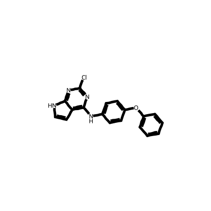 Clc1nc(Nc2ccc(Oc3ccccc3)cc2)c2cc[nH]c2n1